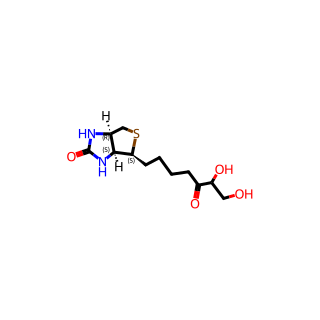 O=C1N[C@H]2[C@H](CS[C@H]2CCCCC(=O)C(O)CO)N1